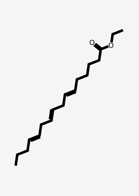 CCC/C=C/C/C=C/C/C=C/CCCCC(=O)OCC